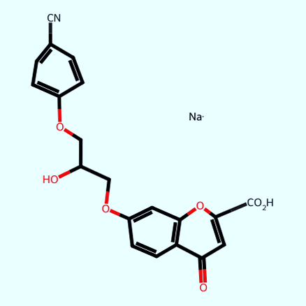 N#Cc1ccc(OCC(O)COc2ccc3c(=O)cc(C(=O)O)oc3c2)cc1.[Na]